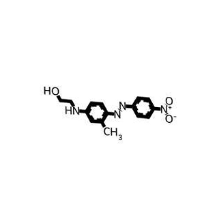 Cc1cc(NCCO)ccc1N=Nc1ccc([N+](=O)[O-])cc1